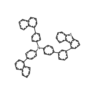 c1cc(-c2ccc(N(c3ccc(-c4cccc5ccccc45)cc3)c3ccc(-c4cccc5ccccc45)cc3)cc2)cc(-c2cccc3sc4ccccc4c23)c1